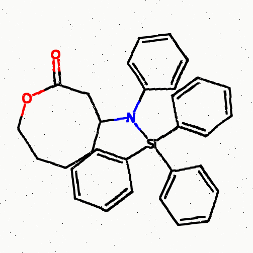 O=C1CC(N(c2ccccc2)[Si](c2ccccc2)(c2ccccc2)c2ccccc2)CCCCO1